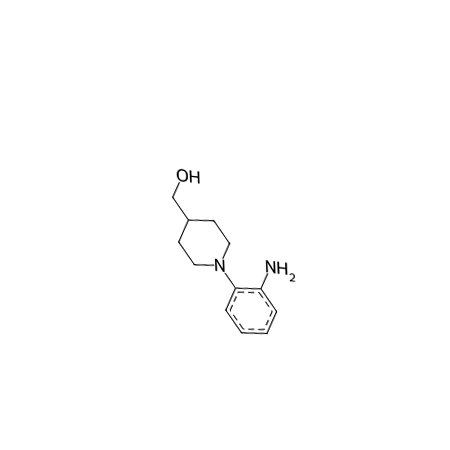 Nc1ccccc1N1CCC(CO)CC1